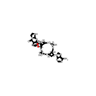 CC(C)(C)[Si](C)(C)OC1[C@H]2OP(O)(=S)OC[C@H]3C[C@@H](n4cnc5c(N)ncnc54)[C@@H]3COP(=O)(S)OC[C@H]1O[C@H]2n1cnc2c(=O)n3cc[nH]c3nc21